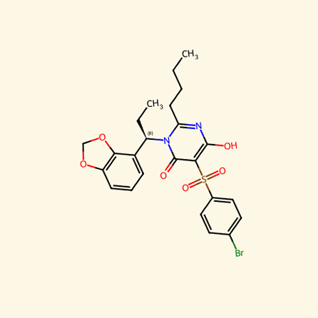 CCCCc1nc(O)c(S(=O)(=O)c2ccc(Br)cc2)c(=O)n1[C@H](CC)c1cccc2c1OCO2